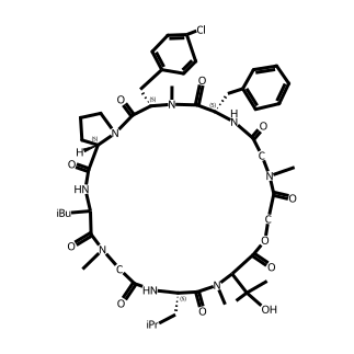 CCC(C)C1NC(=O)[C@@H]2CCCN2C(=O)[C@H](Cc2ccc(Cl)cc2)N(C)C(=O)[C@H](Cc2ccccc2)NC(=O)CN(C)C(=O)COC(=O)C(C(C)(C)O)N(C)C(=O)[C@H](CC(C)C)NC(=O)CN(C)C1=O